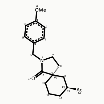 COc1ccc(CN2CC[C@]3(CCC[C@H](C(C)=O)C3)C2=O)cc1